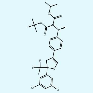 CC(C)OC(=O)N(C(=O)OC(C)(C)C)[C@@H](C)c1ccc(C2=CSC(c3cc(Cl)cc(Cl)c3)(C(F)(F)F)C2)cc1